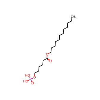 CCCCCCCCCCCCOC(=O)CCCCCOP(=O)(O)O